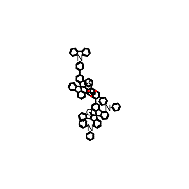 c1ccc(N(c2ccccc2)c2cccc3c2-c2cc(-c4cccc(N(c5ccccc5)c5cccc6c5C5(c7ccccc7-6)c6ccc(-c7ccc(-n8c9ccccc9c9ccccc98)cc7)cc6-c6sc7ccccc7c65)c4)ccc2C32c3cccc(N(c4ccccc4)c4ccccc4)c3-c3c2oc2ccccc32)cc1